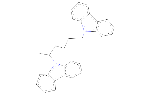 CCC(CCCCn1c2ccccc2c2ccccc21)n1c2ccccc2c2ccccc21